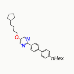 CCCCCCc1ccc(-c2ccc(-c3ncc(OCCCCC4CCCC4)cn3)cc2)cc1